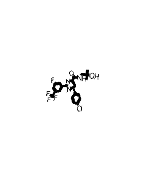 CC(C)(O)CNC(=O)c1cc(-c2ccc(Cl)cc2)nc(-c2cc(F)cc(C(F)(F)F)c2)n1